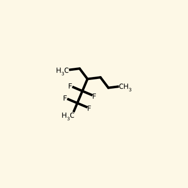 CCCC(CC)C(F)(F)C(C)(F)F